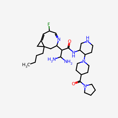 CCCCC12C/C1=C/C(F)/C=N\C(C(C(=O)NC1CNCCC1N1CCC(C(=O)N3CCCC3)CC1)C(N)N)C2